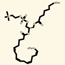 CCCCC/C=C\C/C=C\C/C=C\C/C=C\CCCC(=O)O[C@H](COC(=O)CCCCCCCCCCCCCCC)COP(=O)([O-])OCC[N+](C)(C)C